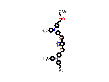 COCCOC(=O)CCc1ccc(N(c2ccc(C)cc2)c2ccc(-c3ccc(-c4ccc(-c5ccc(-c6ccc(N(c7ccc(C)cc7)c7ccc(CCC(C)=O)cc7)cc6)s5)c5nsnc45)s3)cc2)cc1